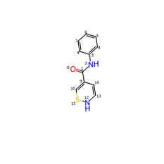 O=C(Nc1ccccc1)C1=CSNC=C1